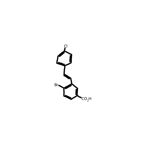 O=C(O)c1ccc(Br)c(/C=C/c2ccc(Cl)cc2)c1